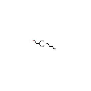 CCCCC[SiH]1CCC(CCBr)CC1